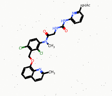 CC(=O)Nc1cccc(NC(=O)NCC(=O)N(C)c2ccc(Cl)c(COc3cccc4ccc(C)nc34)c2Cl)n1